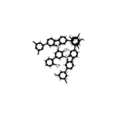 Cc1cc(C)cc(-c2ccc3c4ccc(-c5cc(C)cc(C)c5)cc4n(-c4cc(-c5ccccc5C#N)cc(-n5c6cc(-c7cc(C)cc(C)c7)ccc6c6ccc(-c7cc(C)cc(C)c7)cc65)c4C#N)c3c2)c1